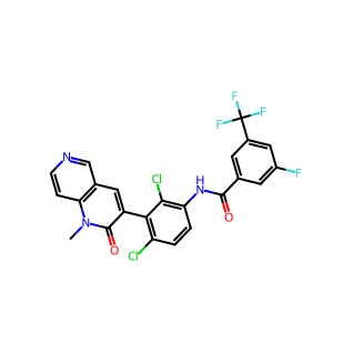 Cn1c(=O)c(-c2c(Cl)ccc(NC(=O)c3cc(F)cc(C(F)(F)F)c3)c2Cl)cc2cnccc21